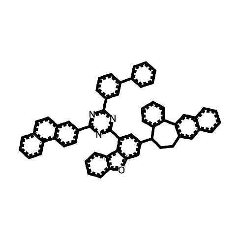 c1ccc(-c2cccc(-c3nc(-c4ccc5c(ccc6ccccc65)c4)nc(-c4cc(C5CCc6cc7ccccc7cc6-c6ccccc65)cc5oc6ccccc6c45)n3)c2)cc1